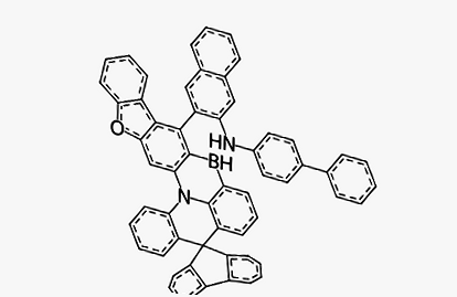 B1c2cccc3c2N(c2ccccc2C32c3ccccc3-c3ccccc32)c2cc3oc4ccccc4c3c(-c3cc4ccccc4cc3Nc3ccc(-c4ccccc4)cc3)c21